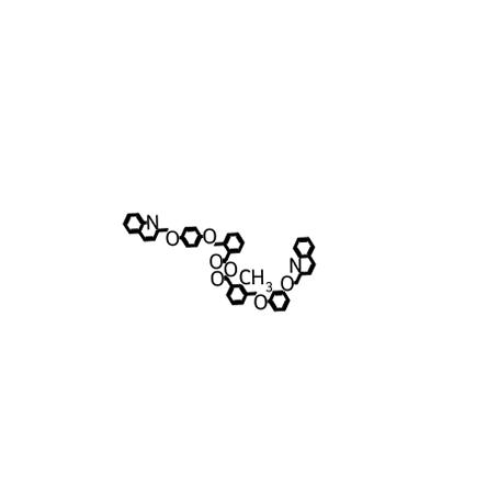 Cc1c(COc2cccc(OCc3ccc4ccccc4n3)c2)cccc1C(=O)OC(=O)c1ccccc1COc1ccc(OCc2ccc3ccccc3n2)cc1